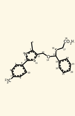 Cc1nc(-c2ccc(C(F)(F)F)cc2)sc1COC(SCC(=O)O)c1ccccc1